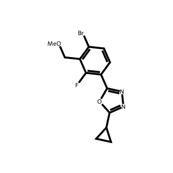 COCc1c(Br)ccc(-c2nnc(C3CC3)o2)c1F